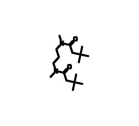 CN(CCCN(C)C(=O)CC(C)(C)C)C(=O)CC(C)(C)C